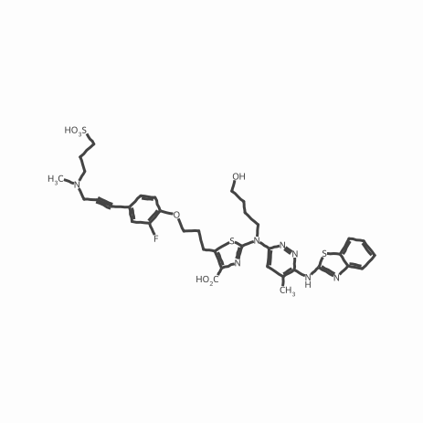 Cc1cc(N(CCCCO)c2nc(C(=O)O)c(CCCOc3ccc(C#CCN(C)CCCS(=O)(=O)O)cc3F)s2)nnc1Nc1nc2ccccc2s1